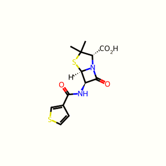 CC1(C)S[C@@H]2[C@H](NC(=O)c3ccsc3)C(=O)N2[C@H]1C(=O)O